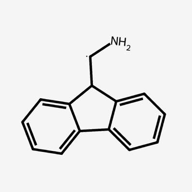 N[CH]C1c2ccccc2-c2ccccc21